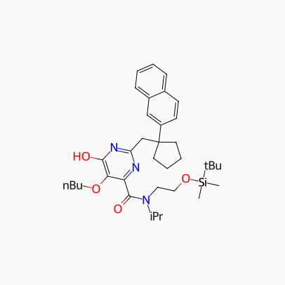 CCCCOc1c(O)nc(CC2(c3ccc4ccccc4c3)CCCC2)nc1C(=O)N(CCO[Si](C)(C)C(C)(C)C)C(C)C